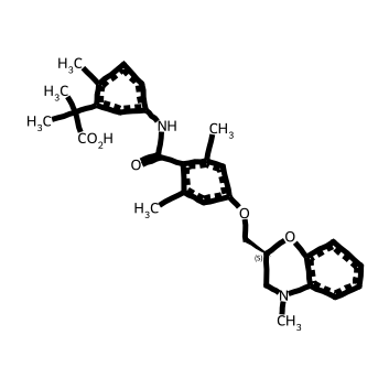 Cc1ccc(NC(=O)c2c(C)cc(OC[C@@H]3CN(C)c4ccccc4O3)cc2C)cc1C(C)(C)C(=O)O